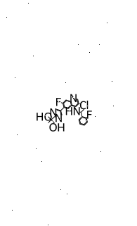 CC(Nc1c(Cl)cnc2cc(F)c(-c3cnc(C(C)(O)CO)nc3)cc12)c1ccccc1F